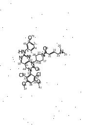 COc1cccc(Nc2ncc3c(n2)N(C2CCN(C(=O)C=CCN(C)C)CC2)C(=O)N(c2c(Cl)c(OC)cc(OC)c2Cl)C3)c1